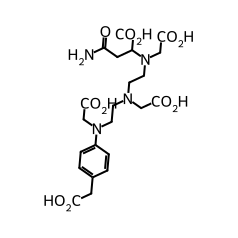 NC(=O)CC(C(=O)O)N(CCN(CCN(CC(=O)O)c1ccc(CC(=O)O)cc1)CC(=O)O)CC(=O)O